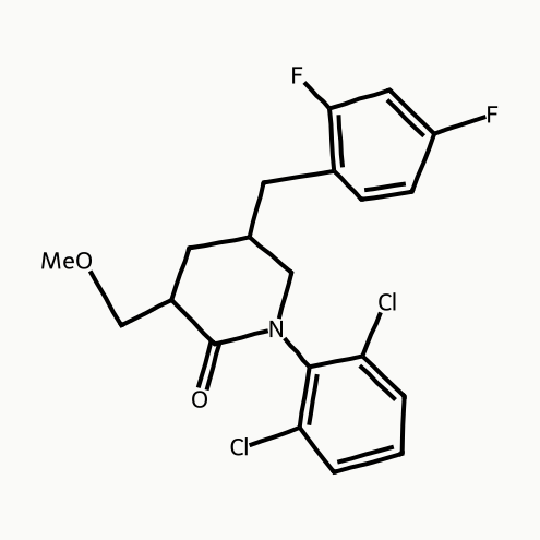 COCC1CC(Cc2ccc(F)cc2F)CN(c2c(Cl)cccc2Cl)C1=O